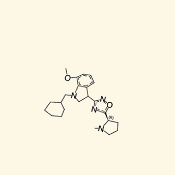 COc1cccc2c1N(CC1CCCCC1)CC2c1noc([C@H]2CCCN2C)n1